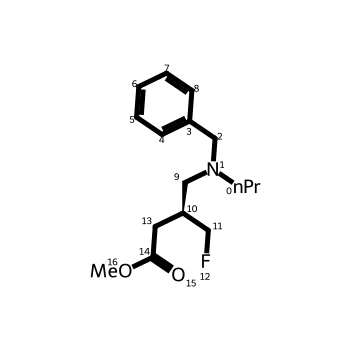 CCCN(Cc1ccccc1)C[C@@H](CF)CC(=O)OC